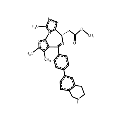 COC(=O)C[C@@H]1N=C(c2ccc(-c3ccc4c(c3)CCNC4)cc2)c2c(sc(C)c2C)-n2c(C)nnc21